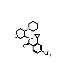 O=C(NC1COCCC1N1CCCCC1)c1ccc(C(F)(F)F)cc1C1CC1